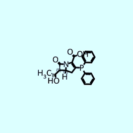 C[C@@H](O)[C@H]1C(=O)N2C(C(=O)O)=C(P(c3ccccc3)c3ccccc3)C[C@H]12